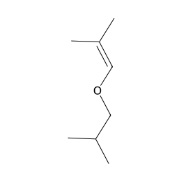 CC(C)=COCC(C)C